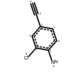 C#Cc1ccc(CCC)c(Cl)c1